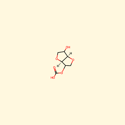 O=C(O)OC1CO[C@@H]2C(O)CO[C@H]12